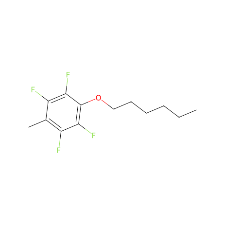 CCCCCCOc1c(F)c(F)c(C)c(F)c1F